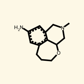 CN1Cc2cc(N)cc3c2C(C1)OCCC3